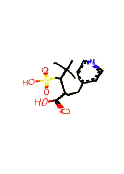 CC(C)(C)C(C(Cc1ccncc1)C(=O)O)S(=O)(=O)O